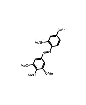 COc1ccc(N=Nc2cc(OC)c(OC)c(OC)c2)c(NC(C)=O)c1